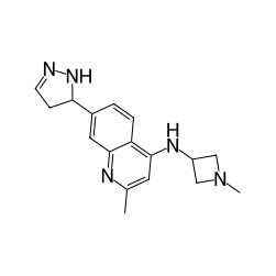 Cc1cc(NC2CN(C)C2)c2ccc(C3CC=NN3)cc2n1